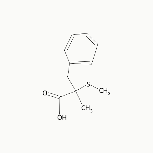 CSC(C)(Cc1ccccc1)C(=O)O